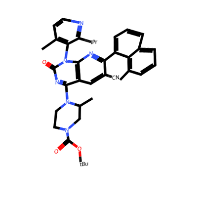 Cc1ccnc(C(C)C)c1-n1c(=O)nc(N2CCN(C(=O)OC(C)(C)C)CC2C)c2cc(C#N)c(-c3cccc4cccc(C)c34)nc21